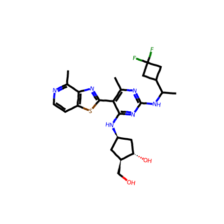 Cc1nc(NC(C)C2CC(F)(F)C2)nc(N[C@@H]2C[C@H](CO)[C@@H](O)C2)c1-c1nc2c(C)nccc2s1